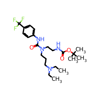 CCN(CC)CCCN(CCNC(=O)OC(C)(C)C)C(=O)Nc1ccc(C(F)(F)F)cc1